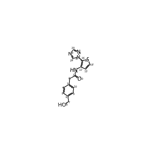 O=C(Cc1ccc(CO)cc1)Nc1ccsc1-n1cncn1